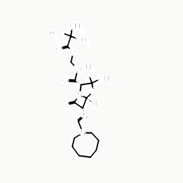 CC(C)(C)C(=O)OCOC(=O)[C@@H]1N2C(=O)[C@@H](N=CN3CCCCCCC3)[C@H]2SC1(C)C